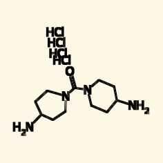 Cl.Cl.Cl.Cl.NC1CCN(C(=O)N2CCC(N)CC2)CC1